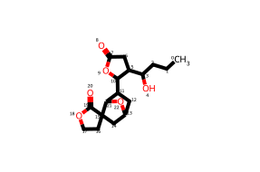 CCCC(O)C1CC(=O)OC1C1CC2CC3(CCOC3=O)C1O2